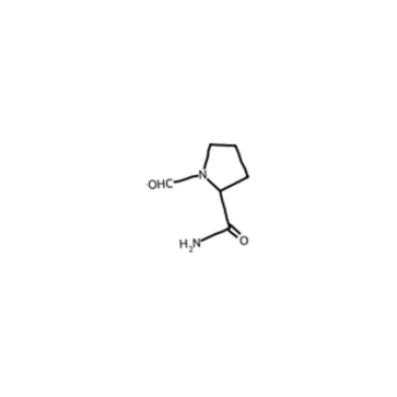 NC(=O)C1CCCN1[C]=O